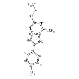 FC(F)(F)COc1nc(C(F)(F)F)c2nc(-c3ccc(C(F)(F)F)nc3)[nH]c2n1